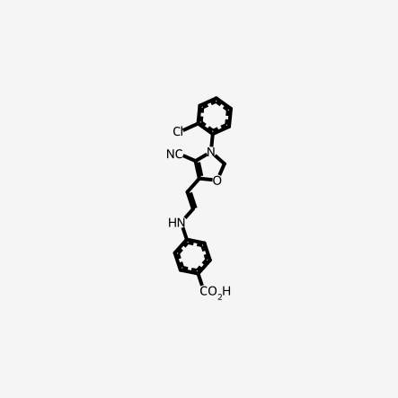 N#CC1=C(C=CNc2ccc(C(=O)O)cc2)OCN1c1ccccc1Cl